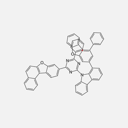 c1ccc(-c2nc(-c3ccc4c(c3)oc3ccc5ccccc5c34)nc(-n3c4ccccc4c4cccc(-c5cc(-c6ccccc6)c6c(c5)oc5ccccc56)c43)n2)cc1